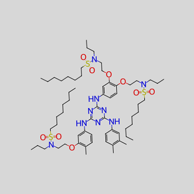 CCCCCCCCS(=O)(=O)N(CCC)CCOc1cc(Nc2nc(Nc3ccc(C)c(C)c3)nc(Nc3ccc(OCCN(CCC)S(=O)(=O)CCCCCCCC)c(OCCN(CCC)S(=O)(=O)CCCCCCCC)c3)n2)ccc1C